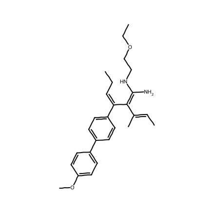 C/C=C(C)/C(C(=C\CC)/c1ccc(-c2ccc(OC)cc2)cc1)=C(\N)NCCOCC